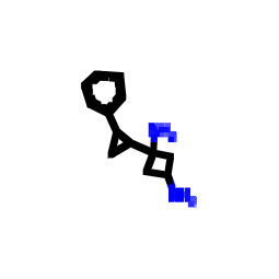 NC1CC(N)(C2CC2c2ccccc2)C1